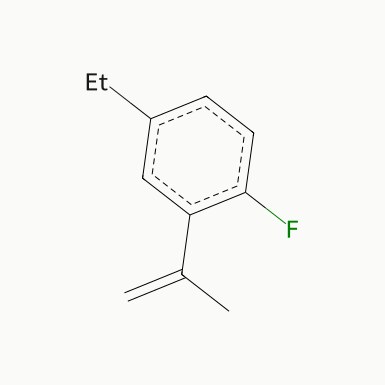 C=C(C)c1cc(CC)ccc1F